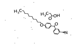 CCC(=O)O.CCCCCCCCCCOc1ccc(C(=O)c2cccc(C#N)c2)cc1